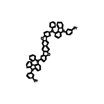 CC(C)c1cccc(-n2c3ccccc3c3c(N(c4ccccc4)c4ccc5oc6cc7cc8c(cc7cc6c5c4)oc4ccc(N(c5ccccc5)c5cccc6c5c5ccccc5n6-c5cccc(C(C)C)c5)cc48)cccc32)c1